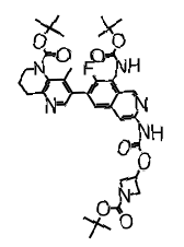 Cc1c(-c2cc3cc(NC(=O)OC4CN(C(=O)OC(C)(C)C)C4)ncc3c(NC(=O)OC(C)(C)C)c2F)cnc2c1N(C(=O)OC(C)(C)C)CCC2